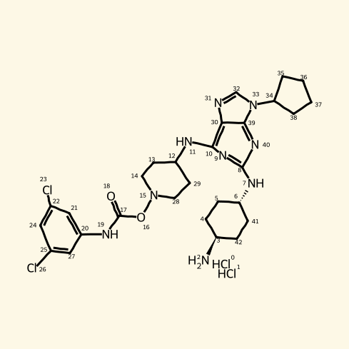 Cl.Cl.N[C@H]1CC[C@H](Nc2nc(NC3CCN(OC(=O)Nc4cc(Cl)cc(Cl)c4)CC3)c3ncn(C4CCCC4)c3n2)CC1